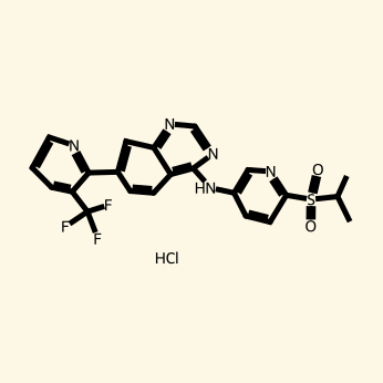 CC(C)S(=O)(=O)c1ccc(Nc2ncnc3cc(-c4ncccc4C(F)(F)F)ccc23)cn1.Cl